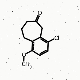 COc1ccc(Cl)c2c1CCCC(=O)C2